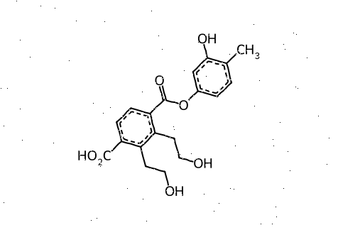 Cc1ccc(OC(=O)c2ccc(C(=O)O)c(CCO)c2CCO)cc1O